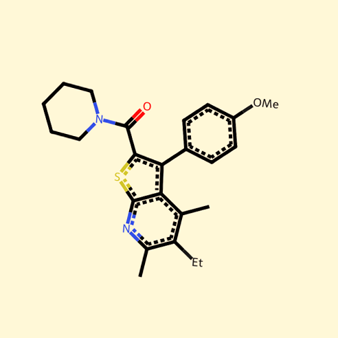 CCc1c(C)nc2sc(C(=O)N3CCCCC3)c(-c3ccc(OC)cc3)c2c1C